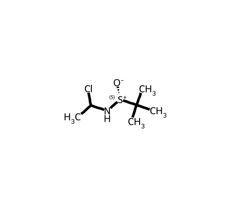 CC(Cl)N[S@+]([O-])C(C)(C)C